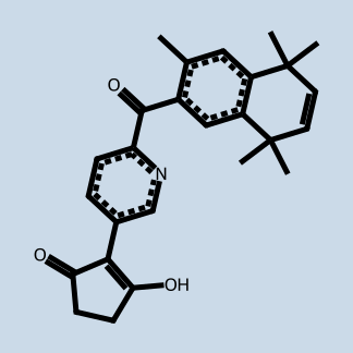 Cc1cc2c(cc1C(=O)c1ccc(C3=C(O)CCC3=O)cn1)C(C)(C)C=CC2(C)C